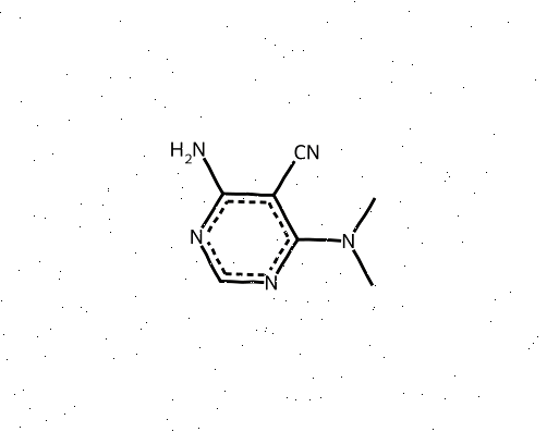 CN(C)c1ncnc(N)c1C#N